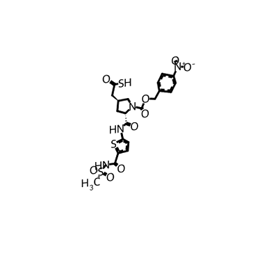 CS(=O)(=O)NC(=O)c1ccc(NC(=O)[C@@H]2C[C@@H](CC(=O)S)CN2C(=O)OCc2ccc([N+](=O)[O-])cc2)s1